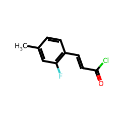 Cc1ccc(/C=C/C(=O)Cl)c(F)c1